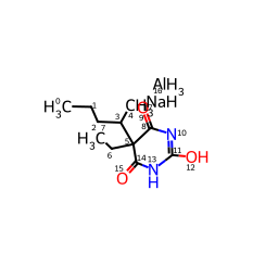 CCCC(C)C1(CC)C(=O)N=C(O)NC1=O.[AlH3].[NaH]